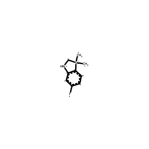 CS1(C)CNc2cc(F)ccc21